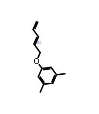 C=C/C=C/COc1cc(C)cc(C)c1